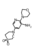 Nc1cc(N2CCS(=O)(=O)CC2)cnc1N1CCOCC1